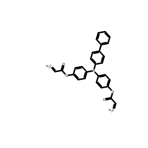 C=CC(=O)Oc1ccc(N(c2ccc(OC(=O)C=C)cc2)c2ccc(-c3ccccc3)cc2)cc1